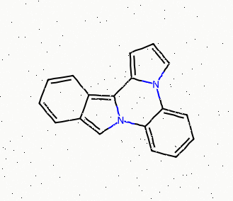 c1ccc2c(c1)cn1c3ccccc3n3cccc3c21